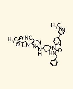 Cn1cc(-c2ccc(N(C(=O)NCc3ccccc3)[C@H]3CC[C@H](Nc4ncc(C#N)c(N5CCC(S(C)(=O)=O)C5)n4)CC3)nc2)cn1